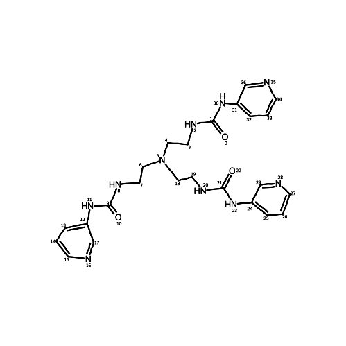 O=C(NCCN(CCNC(=O)Nc1cccnc1)CCNC(=O)Nc1cccnc1)Nc1cccnc1